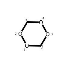 [C]1OOCOO1